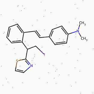 CN(C)c1ccc(C=Cc2ccccc2C(CI)c2nccs2)cc1